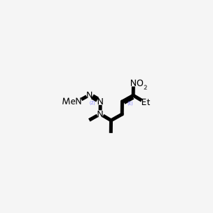 CC/C(=C\CC(C)N(C)/N=N\NC)[N+](=O)[O-]